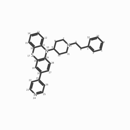 c1ccc(CCN2CCC(N3c4ccccc4Sc4cc(-c5ccncc5)ccc43)CC2)cc1